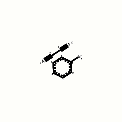 Brc1ccccc1.N#CC#N